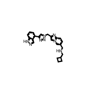 c1cc(-c2cn(Cc3cn4cc(CNCC5CCC5)ccc4n3)nn2)c2cn[nH]c2c1